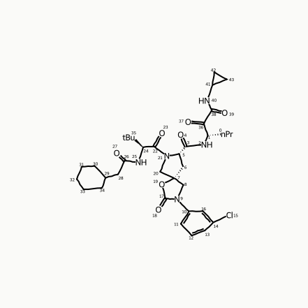 CCC[C@H](NC(=O)[C@@H]1C[C@@]2(CN(c3cccc(Cl)c3)C(=O)O2)CN1C(=O)[C@@H](NC(=O)CC1CCCCC1)C(C)(C)C)C(=O)C(=O)NC1CC1